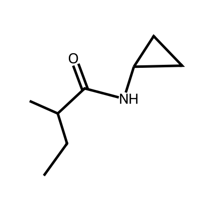 CCC(C)C(=O)NC1CC1